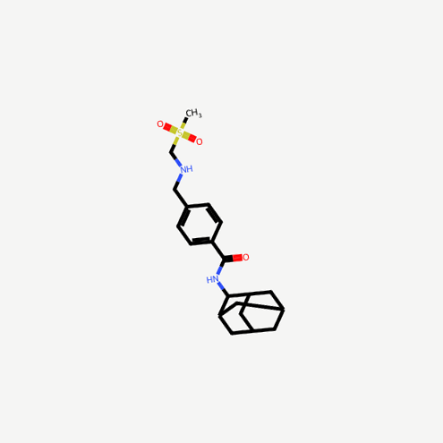 CS(=O)(=O)CNCc1ccc(C(=O)NC2C3CC4CC(C3)CC2C4)cc1